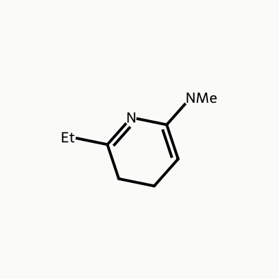 CCC1=NC(NC)=CCC1